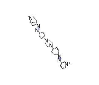 C[n+]1ccc(/N=N/c2ccc(N3CCN(c4ccc(/N=N/c5ccc[n+](C)c5)cc4)CC3)cc2)cc1